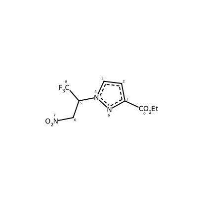 CCOC(=O)c1ccn(C(C[N+](=O)[O-])C(F)(F)F)n1